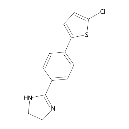 Clc1ccc(-c2ccc(C3=NCCN3)cc2)s1